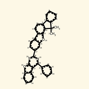 CC1(C)c2ccccc2-c2ccc3c(oc4cc(-c5nc(-c6ccccc6)c6c(n5)oc5ccccc56)ccc43)c21